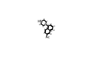 CC(=O)c1ccc2c(N3CCNCC3)cccc2c1